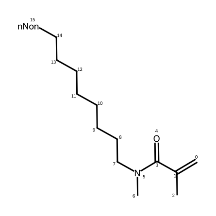 C=C(C)C(=O)N(C)CCCCCCCCCCCCCCCCC